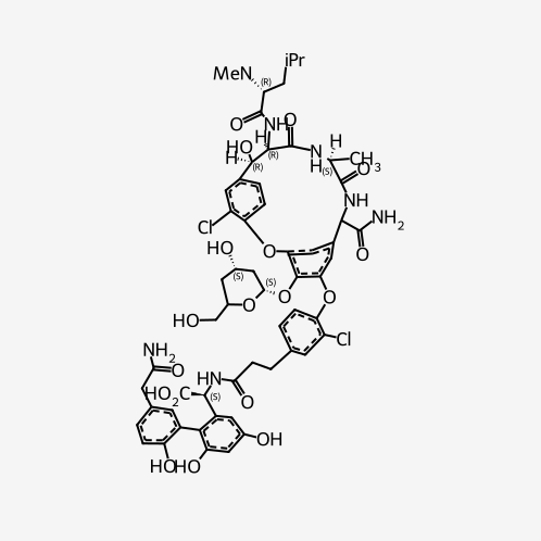 CN[C@H](CC(C)C)C(=O)N[C@H]1C(=O)N[C@@H](C)C(=O)NC(C(N)=O)c2cc(Oc3ccc(CCC(=O)N[C@H](C(=O)O)c4cc(O)cc(O)c4-c4cc(CC(N)=O)ccc4O)cc3Cl)c(O[C@H]3C[C@@H](O)CC(CO)O3)c(c2)Oc2ccc(cc2Cl)[C@H]1O